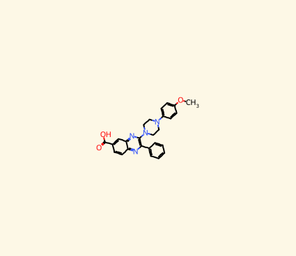 COc1ccc(N2CCN(c3nc4cc(C(=O)O)ccc4nc3-c3ccccc3)CC2)cc1